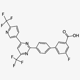 O=C(O)c1cc(F)cc(-c2ccc(-c3nc(-c4ccc(C(F)(F)F)nc4)cc(C(F)(F)F)n3)cc2)c1